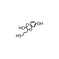 O=C(O)C(CCCS)Oc1cccc(O)c1